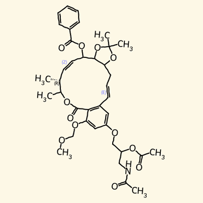 COCOc1cc(OCC(CNC(C)=O)OC(C)=O)cc2c1C(=O)OC(C)[C@H](C)/C=C\C(OC(=O)c1ccccc1)C1OC(C)(C)OC1C/C=C/2